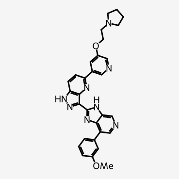 COc1cccc(-c2cncc3[nH]c(-c4n[nH]c5ccc(-c6cncc(OCCN7CCCC7)c6)nc45)nc23)c1